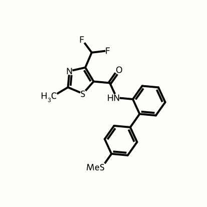 CSc1ccc(-c2ccccc2NC(=O)c2sc(C)nc2C(F)F)cc1